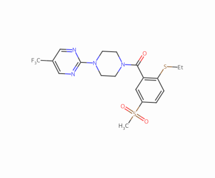 CCSc1ccc(S(C)(=O)=O)cc1C(=O)N1CCN(c2ncc(C(F)(F)F)cn2)CC1